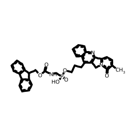 Cc1ccc2n(c1=O)Cc1c-2nc2ccccc2c1CCCOP(=O)(O)CNC(=O)OCC1c2ccccc2-c2ccccc21